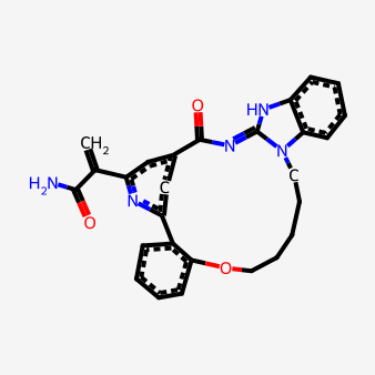 C=C(C(N)=O)c1cc2cc(n1)-c1ccccc1OCCCCCN1/C(=N/C2=O)Nc2ccccc21